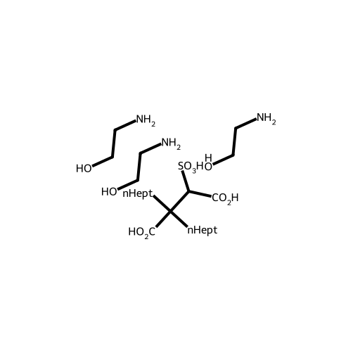 CCCCCCCC(CCCCCCC)(C(=O)O)C(C(=O)O)S(=O)(=O)O.NCCO.NCCO.NCCO